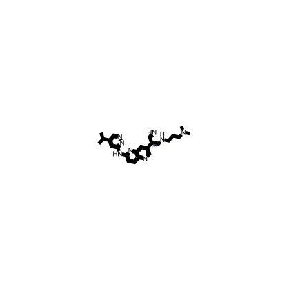 CC(C)c1cnnc(Nc2ccc3ncc(/C(C=N)=C/NCCCN(C)C)cc3n2)c1